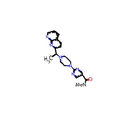 CNC(=O)c1cnc(N2CCN(C(C)c3ccc4cccnc4n3)CC2)nc1